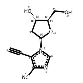 C#Cc1c(C#N)ncn1[C@H]1C[C@H](O)[C@@H](CO)O1